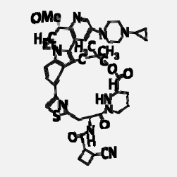 CCn1c(-c2cc(N3CCN(C4CC4)CC3)cnc2[C@H](C)OC)c2c3cc(ccc31)-c1csc(n1)C[C@H](NC(=O)[C@@H]1CCC1C#N)C(=O)N1CCC[C@H](N1)C(=O)OCC(C)(C)C2